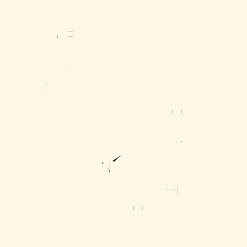 CC1(C)Oc2ccc(C(=O)C(F)(F)F)cc2[C@H](n2ccccc2=O)[C@H]1O